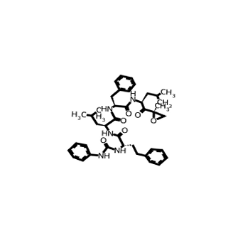 CC(C)C[C@H](NC(=O)[C@H](CCc1ccccc1)NC(=O)Nc1ccccc1)C(=O)N[C@@H](Cc1ccccc1)C(=O)N[C@@H](CC(C)C)C(=O)[C@@]1(C)CO1